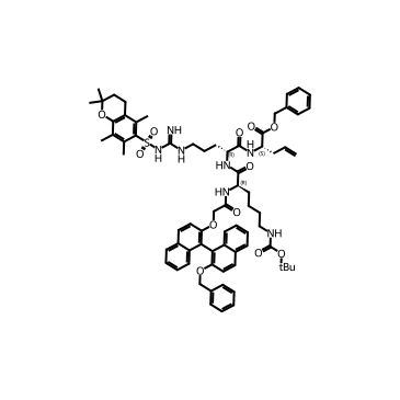 C=CC[C@H](NC(=O)[C@@H](CCCNC(=N)NS(=O)(=O)c1c(C)c(C)c2c(c1C)CCC(C)(C)O2)NC(=O)[C@@H](CCCCNC(=O)OC(C)(C)C)NC(=O)COc1ccc2ccccc2c1-c1c(OCc2ccccc2)ccc2ccccc12)C(=O)OCc1ccccc1